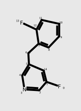 Fc1cncc([CH]c2ccccc2F)c1